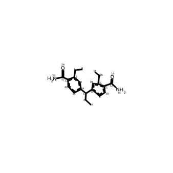 CCc1cc(C(CC)c2ccc(C(N)=O)c(CC)c2)ccc1C(N)=O